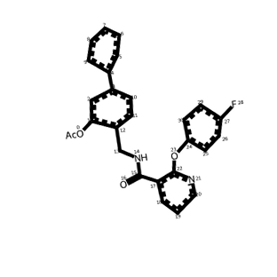 CC(=O)Oc1cc(-c2ccccc2)ccc1CNC(=O)c1cccnc1Oc1ccc(F)cc1